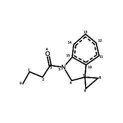 CCCC(=O)N1CC2(CC2)c2ccccc21